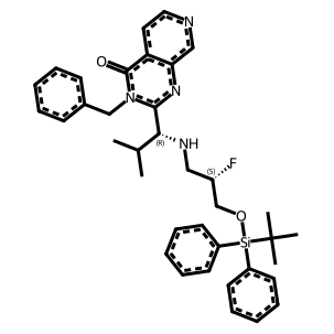 CC(C)[C@@H](NC[C@H](F)CO[Si](c1ccccc1)(c1ccccc1)C(C)(C)C)c1nc2cnccc2c(=O)n1Cc1ccccc1